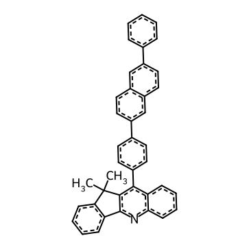 CC1(C)c2ccccc2-c2nc3ccccc3c(-c3ccc(-c4ccc5cc(-c6ccccc6)ccc5c4)cc3)c21